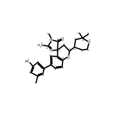 Cc1cc(C#N)cc(-c2ccc3c(c2)C2(CC(C4CCOC(C)(C)C4)O3)N=C(N)N(C)C2=O)c1